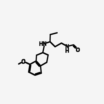 CCC(CCNC=O)NC1CCc2cccc(OC)c2C1